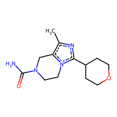 Cc1nc(C2CCOCC2)n2c1CN(C(N)=O)CC2